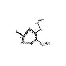 COc1ccc(C)cc1CC(C)C